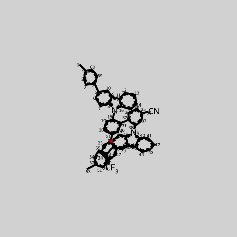 Cc1ccc(-c2ccc3c(c2)c2ccccc2n3-c2ccc(-c3ccc(C(F)(F)F)cc3C#N)cc2-c2ccc(C#N)cc2-n2c3ccccc3c3cc(-c4ccc(C)cc4)ccc32)cc1